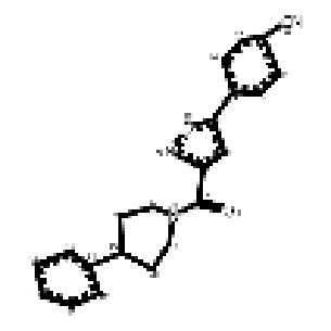 N#Cc1ccc(-c2cc(C(=O)N3CCC(c4ccccc4)CC3)no2)cc1